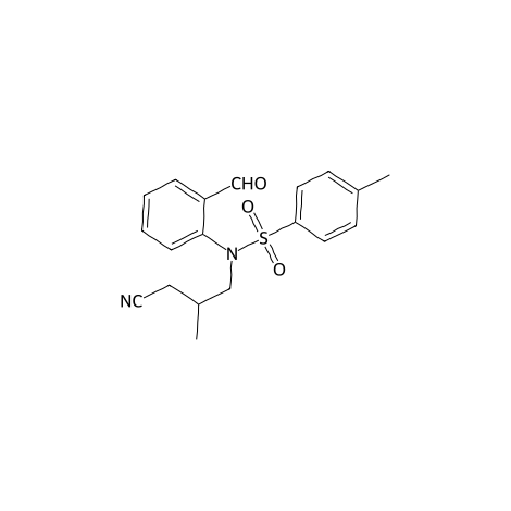 Cc1ccc(S(=O)(=O)N(CC(C)CC#N)c2ccccc2C=O)cc1